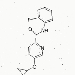 O=C(Nc1ccccc1F)c1ccc(OC2CC2)cn1